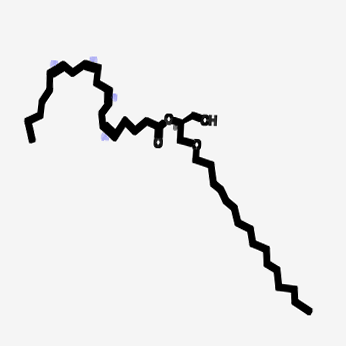 CCCCC/C=C\C/C=C\C/C=C\C/C=C\CCCC(=O)O[C@@H](CO)COCCCCCCCCCCCCCCCC